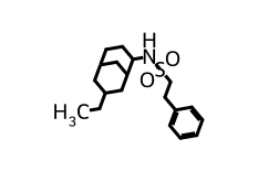 CCC1CC2CCC(NS(=O)(=O)CCc3ccccc3)C(C1)C2